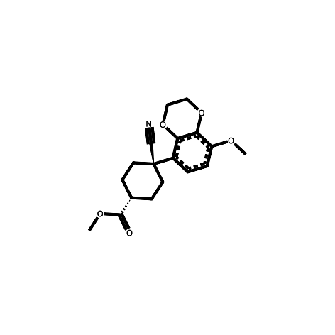 COc1ccc([C@]2(C#N)CC[C@H](C(=O)OC)CC2)c2c1OCCO2